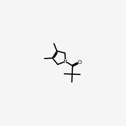 CC1=C(C)CN(C(=O)C(C)(C)C)C1